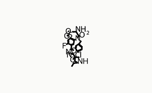 CC1OC2(c3nnc(-c4cc5c(cc4F)S(=O)(=O)C[C@H](N)C(=O)N5Cc4ccc(Cl)cc4)o3)CNC1C2